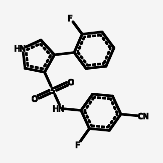 N#Cc1ccc(NS(=O)(=O)c2c[nH]cc2-c2ccccc2F)c(F)c1